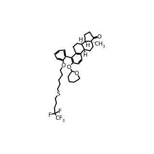 C[C@]12CC[C@@H]3c4ccc(OC5CCCCO5)c(-c5ccccc5OCCCCCSCCCC(F)(F)C(F)(F)F)c4CC[C@H]3[C@@H]1CCC2=O